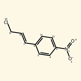 O=[N+]([O-])c1ccc(/C=C/CCl)cc1